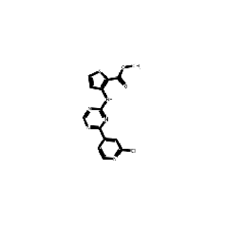 COC(=O)c1sccc1Nc1ncnc(-c2ccnc(Cl)c2)n1